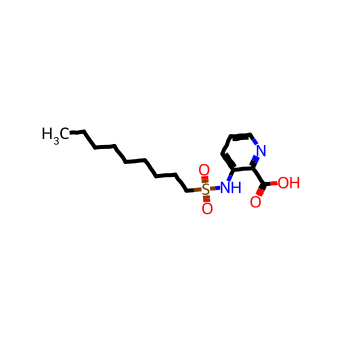 CCCCCCCCCS(=O)(=O)Nc1cccnc1C(=O)O